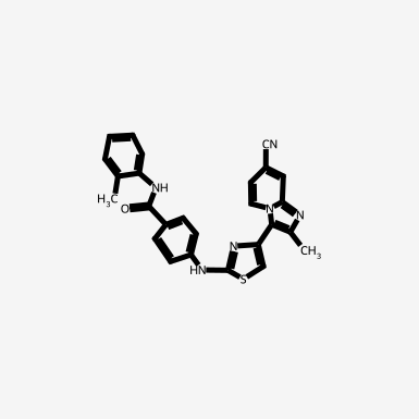 Cc1ccccc1NC(=O)c1ccc(Nc2nc(-c3c(C)nc4cc(C#N)ccn34)cs2)cc1